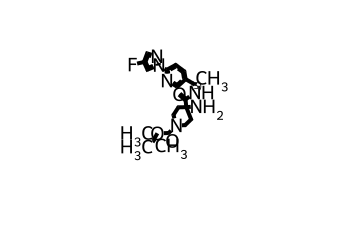 C[C@H](NC(=O)C1(N)CCN(C(=O)OC(C)(C)C)CC1)c1ccc(-n2cc(F)cn2)nc1